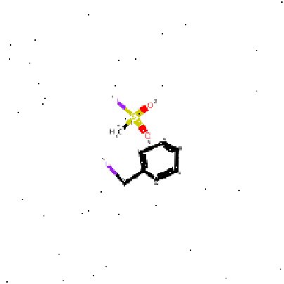 CS(=O)(=O)I.ICc1ccccc1